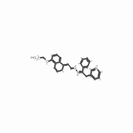 O=C(O)COc1cccc2c1CCCC2=CCON=C(Cc1cccnc1)c1ccccc1